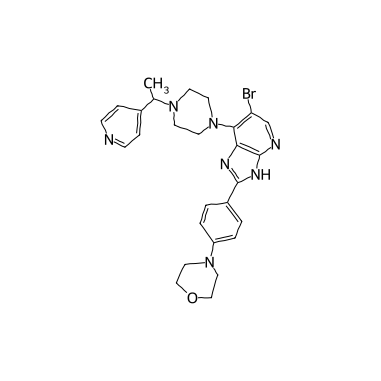 CC(c1ccncc1)N1CCN(c2c(Br)cnc3[nH]c(-c4ccc(N5CCOCC5)cc4)nc23)CC1